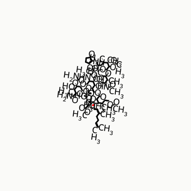 COC(=O)[C@@H](COP(=O)(O)O[C@@H]1OC(C(N)=O)[C@@](C)(O)[C@H](OC(N)=O)C1O[C@@H]1OC(CO[C@@H]2OC(COC(C)=O)[C@@H](C)[C@H](C)C2OC(C)=O)[C@@H](O[C@@H]2OC(C)[C@@H](O[C@@H]3OC(C(=O)NC4=C(O)CCC4=O)[C@H](C)[C@H](C)C3OC(C)=O)[C@H](C)C2NC(C)=O)[C@H](C)C1NC(C)=O)OC/C=C(/C)CCC=C(C)C